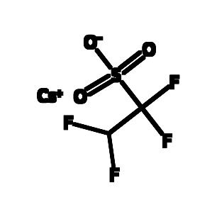 O=S(=O)([O-])C(F)(F)C(F)F.[Cs+]